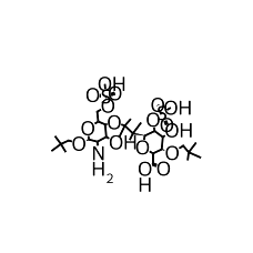 CC(C)(C)CO[C@@H]1OC(COS(=O)(=O)O)[C@@H](OC(C)(C)C(C)(C)[C@@H]2OC(C(=O)O)[C@@H](OCC(C)(C)C)C(O)C2OS(=O)(=O)O)C(O)C1N